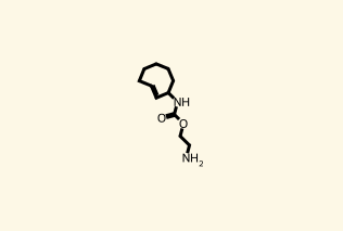 NCCOC(=O)NC1/C=C/CCCCC1